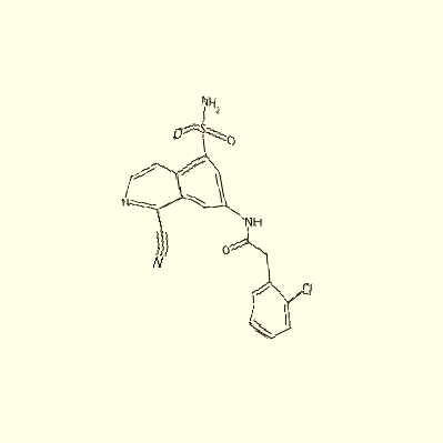 N#Cc1nccc2c(S(N)(=O)=O)cc(NC(=O)Cc3ccccc3Cl)cc12